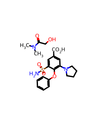 CN(C)C(=O)CO.NS(=O)(=O)c1cc(C(=O)O)cc(N2CCCC2)c1Oc1ccccc1